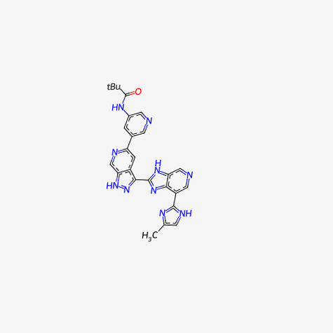 Cc1c[nH]c(-c2cncc3[nH]c(-c4n[nH]c5cnc(-c6cncc(NC(=O)C(C)(C)C)c6)cc45)nc23)n1